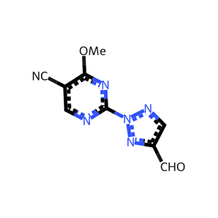 COc1nc(-n2ncc(C=O)n2)ncc1C#N